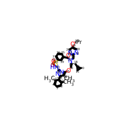 Cc1cccc(C)c1-c1nc2nc(c1C)OC[C@@H](CC1CC1)N(Cc1ncc(OC(C)C)cn1)C(=O)c1cccc(c1)S(=O)(=O)N2